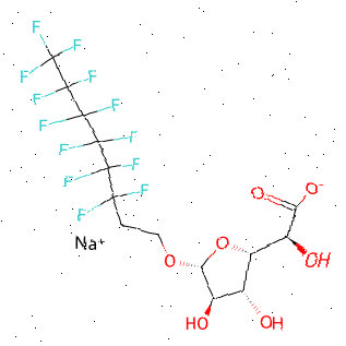 O=C([O-])[C@@H](O)[C@H]1O[C@@H](OCCC(F)(F)C(F)(F)C(F)(F)C(F)(F)C(F)(F)C(F)(F)F)[C@H](O)[C@H]1O.[Na+]